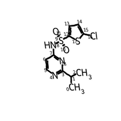 CC(C)c1nccc(NS(=O)(=O)c2ccc(Cl)s2)n1